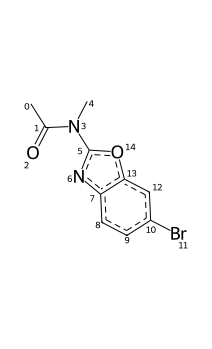 CC(=O)N(C)c1nc2ccc(Br)cc2o1